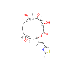 CC(=Cc1csc(C)n1)[C@@H]1C[C@@]2(C)O[C@H]2CCC[C@H](C)[C@H](O)[C@@H](C)C(=O)C(C)(C)[C@@H](O)CC(=O)O1